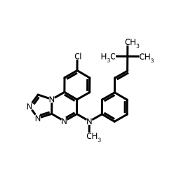 CN(c1cccc(/C=C/C(C)(C)C)c1)c1nc2nncn2c2cc(Cl)ccc12